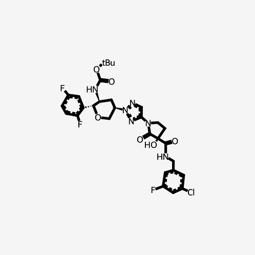 CC(C)(C)OC(=O)N[C@H]1C[C@@H](n2ncc(N3CC[C@](O)(C(=O)NCc4cc(F)cc(Cl)c4)C3=O)n2)CO[C@@H]1c1cc(F)ccc1F